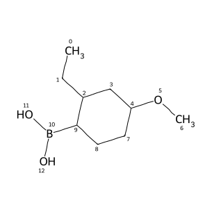 CCC1CC(OC)CCC1B(O)O